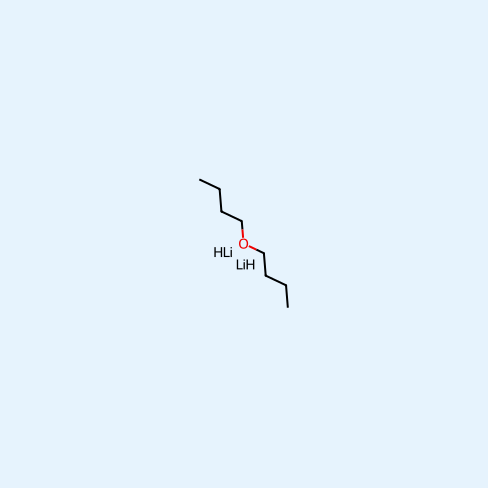 CCCCOCCCC.[LiH].[LiH]